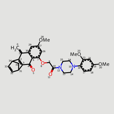 C=C1C2=C(C(=O)c3c(OCC(=O)N4CCN(c5ccc(OC)cc5OC)CC4)cc(OC)cc31)C1C=CC2C1